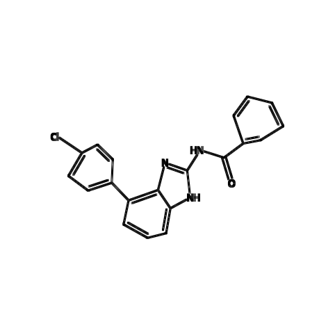 O=C(Nc1nc2c(-c3ccc(Cl)cc3)cccc2[nH]1)c1ccccc1